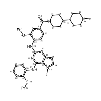 CCOc1cc(C(=O)N2CCC(N3CCN(C)CC3)CC2)ccc1Nc1nc(Nc2ccccc2SC(C)C)c2c(ccn2C)n1